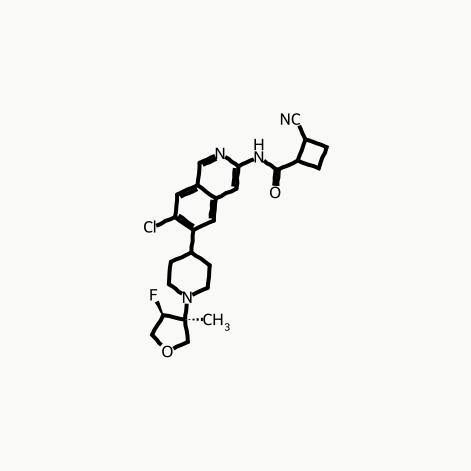 C[C@]1(N2CCC(c3cc4cc(NC(=O)C5CCC5C#N)ncc4cc3Cl)CC2)COC[C@H]1F